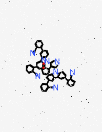 N#Cc1ccccc1-c1ccc2c(c1)c1cc(-c3ccccc3C#N)ccc1n2-c1cncc(-n2c3ccc(-c4ccccc4C#N)cc3c3cc(-c4ccccc4C#N)ccc32)c1-c1ccccc1C#N